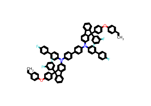 C=Cc1ccc(Oc2ccc(C3(c4cc(F)cc(F)c4)c4ccccc4-c4ccc(N(c5ccc(-c6ccc(F)cc6)cc5)c5ccc(-c6ccc(N(c7ccc(-c8ccc(F)cc8)cc7)c7ccc8c(c7)C(c7ccc(Oc9ccc(C=C)cc9)cc7)(c7cc(F)cc(F)c7)c7ccccc7-8)cc6)cc5)cc43)cc2)cc1